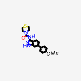 COc1ccc(-c2ccc3c(NC(=O)N4CCSCC4)n[nH]c3c2)cc1